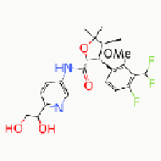 COc1c([C@H]2[C@H](C(=O)Nc3ccc([C@@H](O)CO)nc3)OC(C)(C)[C@H]2C)ccc(F)c1C(F)F